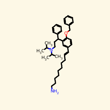 CC(C)N(CCC(c1ccccc1)c1cc(C=CCCCCCCCCN)ccc1OCc1ccccc1)C(C)C